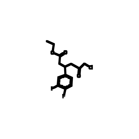 CCOC(=O)CC(CC(=O)CCl)c1ccc(F)c(F)c1